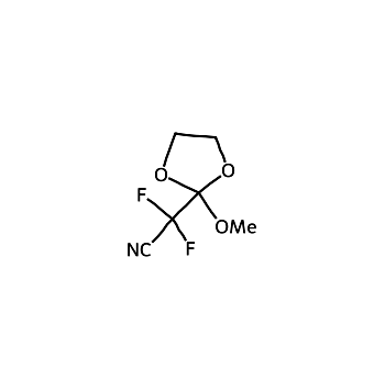 COC1(C(F)(F)C#N)OCCO1